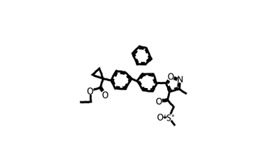 CCOC(=O)C1(c2ccc(-c3ccc(-c4onc(C)c4C(=O)C[S+](C)[O-])cc3)cc2)CC1.c1ccccc1